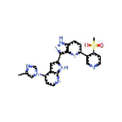 Cc1cn(-c2ccnc3[nH]c(-c4n[nH]c5ccc(-c6cnccc6S(C)(=O)=O)nc45)cc23)cn1